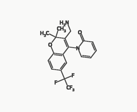 CC1(C)Oc2ccc(C(F)(F)C(F)(F)F)cc2C(n2ccccc2=O)=C1CN